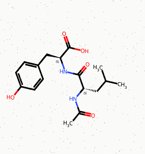 CC(=O)N[C@@H](CC(C)C)C(=O)N[C@@H](Cc1ccc(O)cc1)C(=O)O